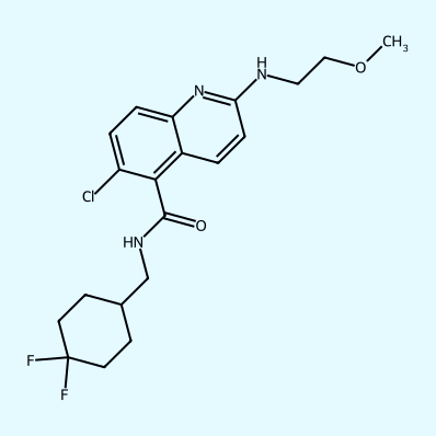 COCCNc1ccc2c(C(=O)NCC3CCC(F)(F)CC3)c(Cl)ccc2n1